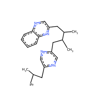 CC(C)C(C)Cc1cnc(CC(C)C(C)Cc2cnc3ccccc3n2)cn1